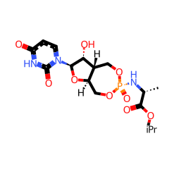 CC(C)OC(=O)[C@@H](C)N[P@@]1(=O)OC[C@H]2[C@@H](O)[C@H](n3ccc(=O)[nH]c3=O)O[C@@H]2CO1